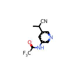 CC(C#N)c1cncc(NC(=O)C(F)(F)F)c1